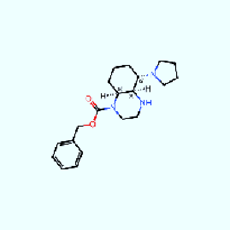 O=C(OCc1ccccc1)N1CCN[C@@H]2[C@@H](N3CCCC3)CCC[C@@H]21